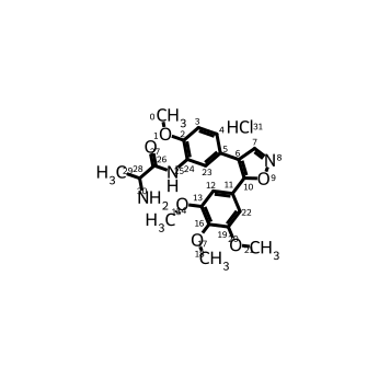 COc1ccc(-c2cnoc2-c2cc(OC)c(OC)c(OC)c2)cc1NC(=O)C(C)N.Cl